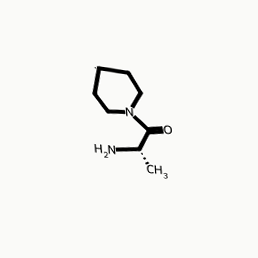 C[C@H](N)C(=O)N1CC[CH]CC1